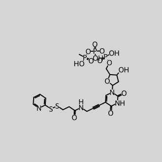 CP(=O)(O)OP(=O)(O)OP(=O)(O)OCC1OC(n2cc(C#CCNC(=O)CCSSc3ccccn3)c(=O)[nH]c2=O)CC1O